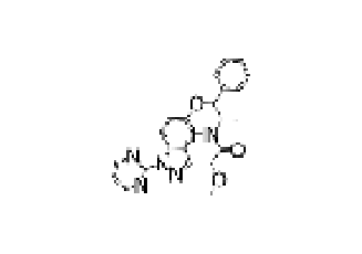 COCC(=O)NC(C)C(Oc1ccc2c(cnn2-c2ncccn2)c1)c1ccccc1